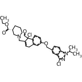 CCOC(=O)[C@@H]1CCCN(CC2=CCc3cc(OCc4ccc5c(c4)c(Cl)nn5C(C)C)ccc3C2(Cl)C=O)C1